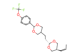 C/C=C\[C@H]1CO[C@H](CCC2COC(c3ccc(OC(F)(F)F)cc3)OC2)OC1